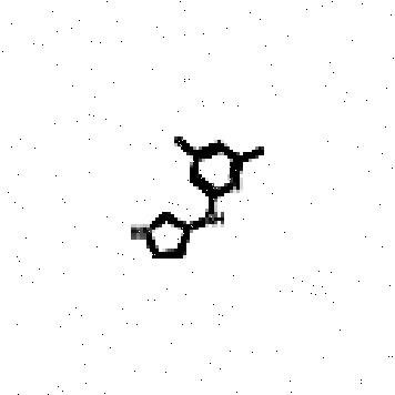 Cc1cc(C)nc(NC2CCNC2)c1